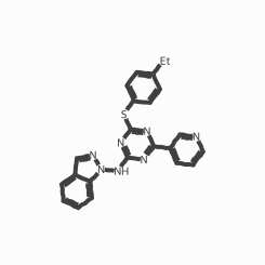 CCc1ccc(Sc2nc(Nn3ncc4ccccc43)nc(-c3cccnc3)n2)cc1